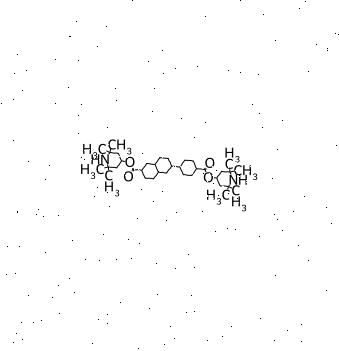 CC1(C)CC(OC(=O)C2CCC(C3CCC4CC(C(=O)OC5CC(C)(C)NC(C)(C)C5)CCC4C3)CC2)CC(C)(C)N1